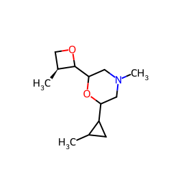 CC1CC1C1CN(C)CC(C2OC[C@@H]2C)O1